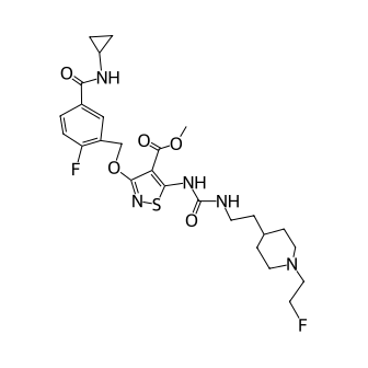 COC(=O)c1c(OCc2cc(C(=O)NC3CC3)ccc2F)nsc1NC(=O)NCCC1CCN(CCF)CC1